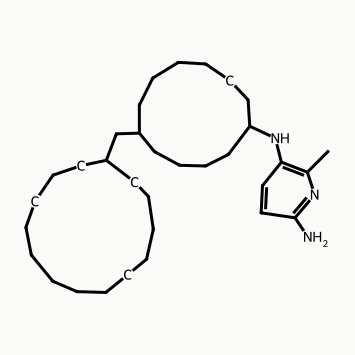 Cc1nc(N)ccc1NC1CCCCCCC(CC2CCCCCCCCCCCCC2)CCCC1